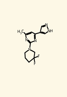 Cc1cc(-c2cn[nH]c2)nc(N2CCCC(F)(F)C2)n1